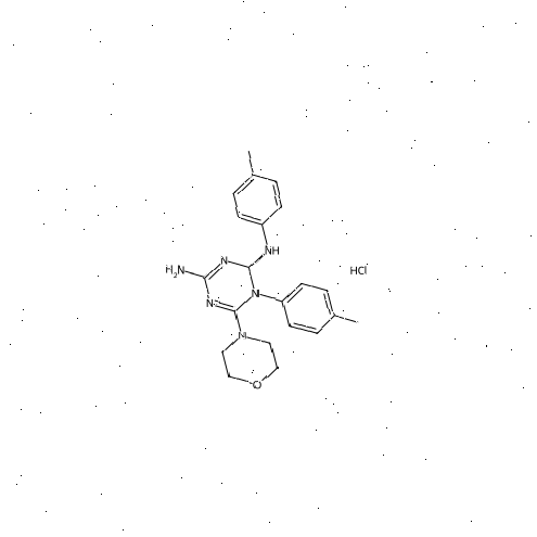 Cc1ccc(NC2N=C(N)N=C(N3CCOCC3)N2c2ccc(C)cc2)cc1.Cl